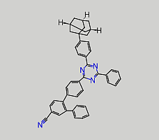 N#Cc1ccc(-c2ccc(-c3nc(-c4ccccc4)nc(-c4ccc(C56C[C@H]7C[C@@H](C5)C[C@@H](C6)C7)cc4)n3)cc2)c(-c2ccccc2)c1